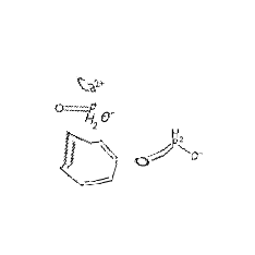 O=[PH2][O-].O=[PH2][O-].[Ca+2].c1ccccc1